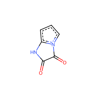 O=C1Nc2cccn2C1=O